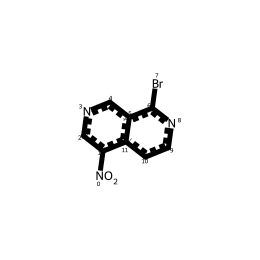 O=[N+]([O-])c1cncc2c(Br)nccc12